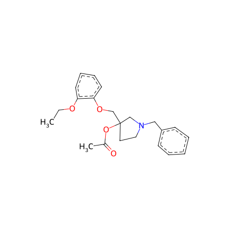 CCOc1ccccc1OCC1(OC(C)=O)CCN(Cc2ccccc2)C1